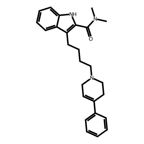 CN(C)C(=O)c1[nH]c2ccccc2c1CCCCN1CC=C(c2ccccc2)CC1